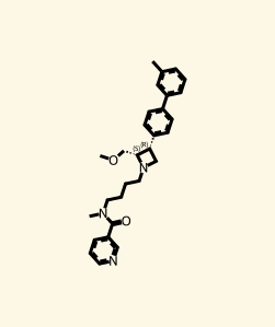 COC[C@@H]1[C@H](c2ccc(-c3cccc(C)c3)cc2)CN1CCCCN(C)C(=O)c1cccnc1